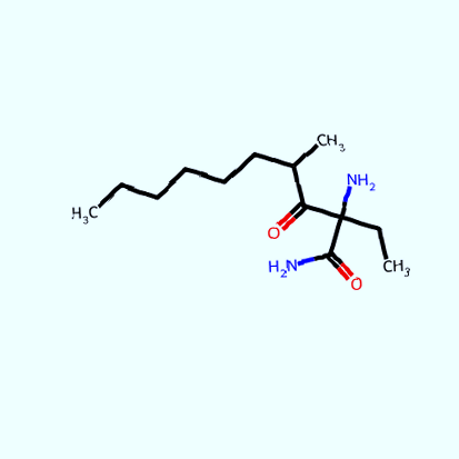 CCCCCCC(C)C(=O)C(N)(CC)C(N)=O